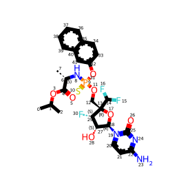 CC(C)OC(=O)[C@H](C)NP(=S)(OC[C@@]1(C(F)F)O[C@@H](n2ccc(N)nc2=O)[C@H](O)[C@@H]1F)Oc1ccc2ccccc2c1